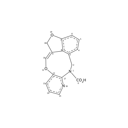 O=C(O)N1Cc2cccc3c2/C(=C\Oc2cccnc21)CO3